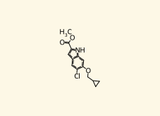 COC(=O)c1cc2cc(Cl)c(OCC3CC3)cc2[nH]1